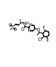 CC(Oc1cnc(C(=O)N[C@H](C)/C=C/S(C)(=O)=O)nc1)c1c(F)ccc(F)c1Cl